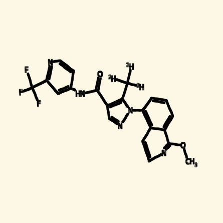 [2H]C([2H])([2H])c1c(C(=O)Nc2ccnc(C(F)(F)F)c2)cnn1-c1cccc2c(OC)nccc12